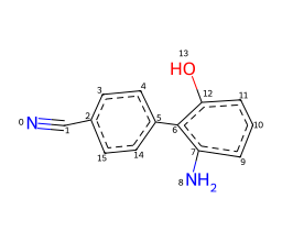 N#Cc1ccc(-c2c(N)cccc2O)cc1